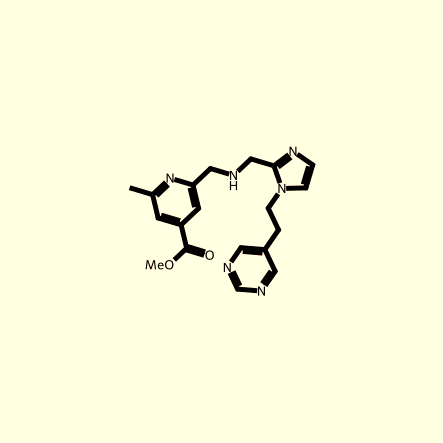 COC(=O)c1cc(C)nc(CNCc2nccn2CCc2cncnc2)c1